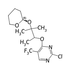 CC(Oc1nc(Cl)ncc1C(F)(F)F)C(C)(C)O[C@@H]1CCCCO1